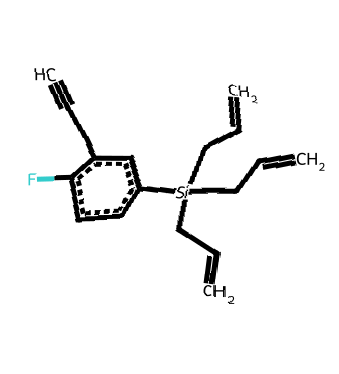 C#Cc1cc([Si](CC=C)(CC=C)CC=C)ccc1F